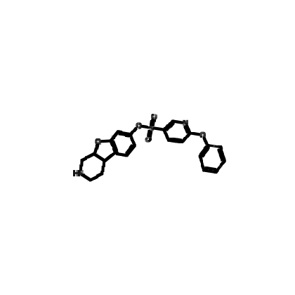 O=S(=O)(Oc1ccc2c(c1)OC1CNCCC21)c1ccc(Oc2ccccc2)nc1